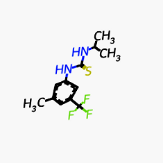 Cc1cc(NC(=S)NC(C)C)cc(C(F)(F)F)c1